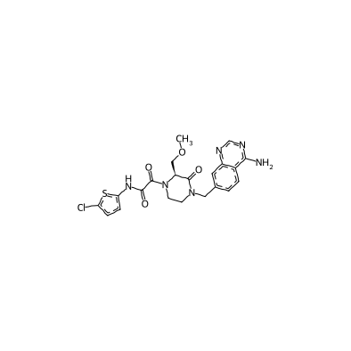 COC[C@H]1C(=O)N(Cc2ccc3c(N)ncnc3c2)CCN1C(=O)C(=O)Nc1ccc(Cl)s1